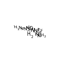 NN=CN=N[SiH2]ON=NC(=NN)C(F)(F)F